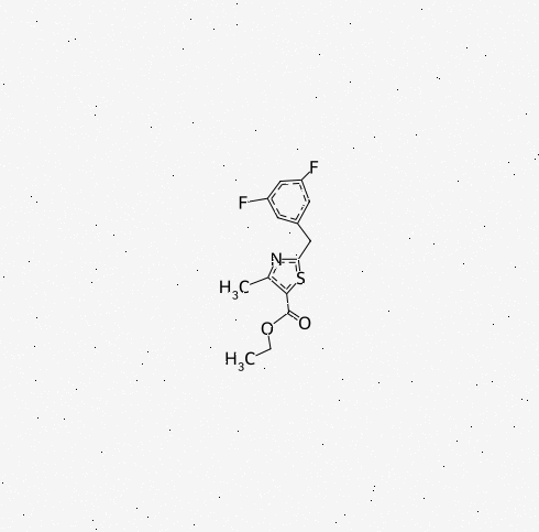 CCOC(=O)c1sc(Cc2cc(F)cc(F)c2)nc1C